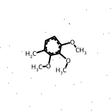 [CH2]c1ccc(OC)c(OC)c1OC